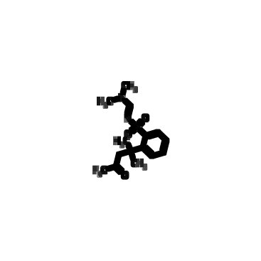 CN(C)/C=N/S(=O)(=O)c1ccccc1C(C)(C)CC(=O)C(F)(F)F